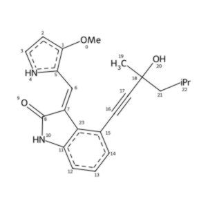 COc1cc[nH]c1/C=C1\C(=O)Nc2cccc(C#CC(C)(O)CC(C)C)c21